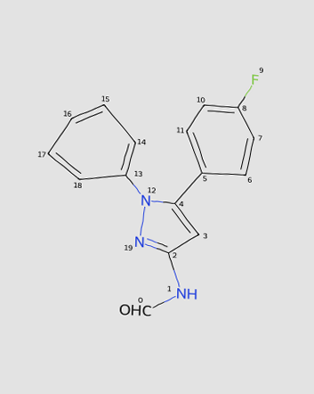 O=CNc1cc(-c2ccc(F)cc2)n(-c2ccccc2)n1